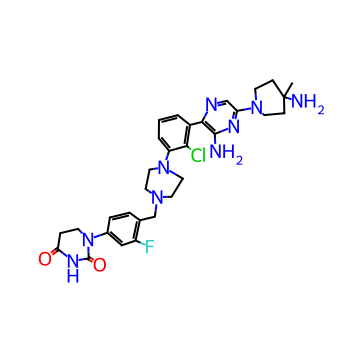 CC1(N)CCN(c2cnc(-c3cccc(N4CCN(Cc5ccc(N6CCC(=O)NC6=O)cc5F)CC4)c3Cl)c(N)n2)CC1